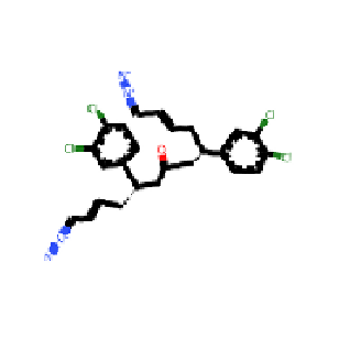 [N-]=[N+]=CC=CC[C@@H](CC(=O)C[C@H](CC=CC=[N+]=[N-])c1ccc(Cl)c(Cl)c1)c1ccc(Cl)c(Cl)c1